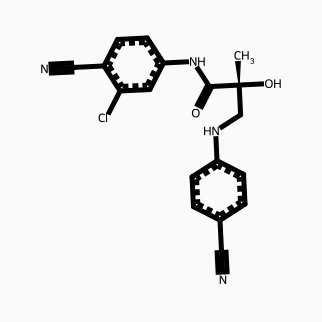 C[C@@](O)(CNc1ccc(C#N)cc1)C(=O)Nc1ccc(C#N)c(Cl)c1